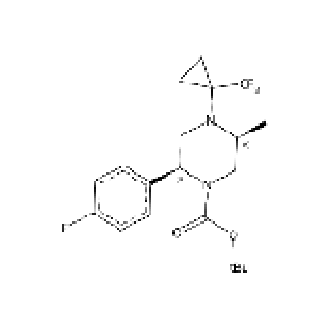 C[C@H]1CN(C(=O)OC(C)(C)C)[C@@H](c2ccc(F)cc2)CN1C1(C(F)(F)F)CC1